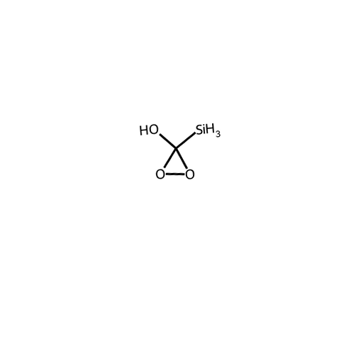 OC1([SiH3])OO1